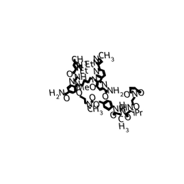 CCn1nc(C)cc1C(=O)Nc1nc2cc(C(N)=O)cc(OCCCN(C)C(=O)OCc3ccc(NC(=O)[C@H](C)NC(=O)[C@@H](NC(=O)CCN4C(=O)C=CC4=O)C(C)C)cc3)c2n1C/C=C/Cn1c2nc(-c3cc(C)nn3CC)ccc2c2nc(C(N)=O)cc(OC)c21